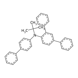 CC(C)(C)N(c1ccc(-c2ccccc2)cc1)c1ccc(-c2ccccc2)cc1-c1ccccc1